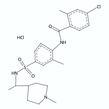 Cc1cc(S(=O)(=O)NC(C)C2CCN(C)CC2)ccc1NC(=O)c1ccc(Cl)cc1C.Cl